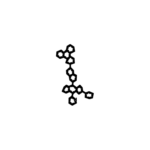 c1ccc(-c2ccc3c(-c4ccc5cc(-c6ccc7c8ccccc8c8ccccc8c7c6)ccc5c4)c4ccccc4c(-c4ccccn4)c3c2)cc1